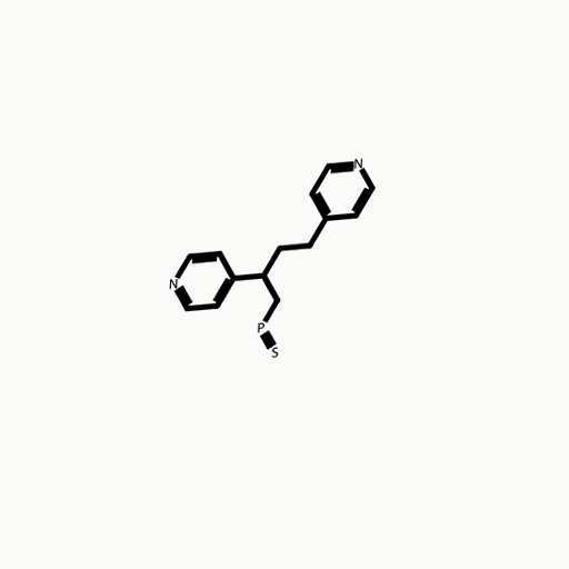 S=PCC(CCc1ccncc1)c1ccncc1